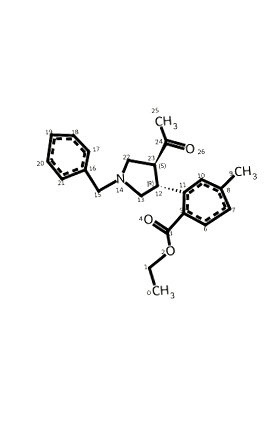 CCOC(=O)c1ccc(C)cc1[C@@H]1CN(Cc2ccccc2)C[C@H]1C(C)=O